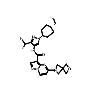 O=C(Nc1cn([C@H]2CC[C@H](CO)CC2)nc1C(F)F)c1cnn2ccc(N3CC4(COC4)C3)nc12